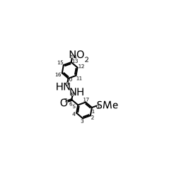 CSc1cccc(C(=O)NNc2ccc([N+](=O)[O-])cc2)c1